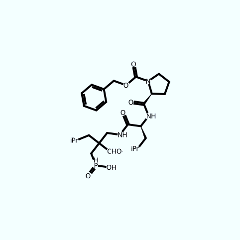 CC(C)C[C@H](NC(=O)[C@@H]1CCCN1C(=O)OCc1ccccc1)C(=O)NCC([C]=O)(CC(C)C)C[PH](=O)O